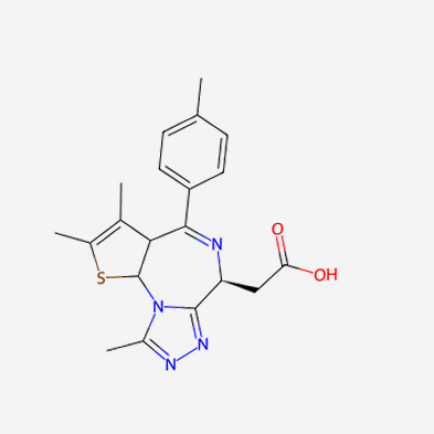 CC1=C(C)C2C(c3ccc(C)cc3)=N[C@@H](CC(=O)O)c3nnc(C)n3C2S1